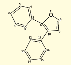 [c]1ccccc1-c1occc1-c1ccccc1